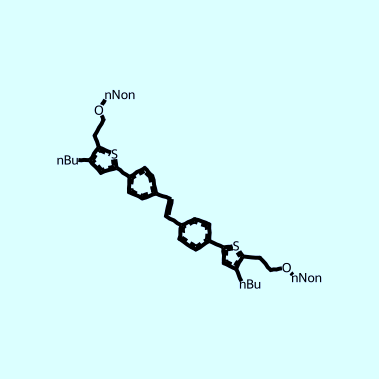 CCCCCCCCCOCCc1sc(-c2ccc(/C=C/c3ccc(-c4cc(CCCC)c(CCOCCCCCCCCC)s4)cc3)cc2)cc1CCCC